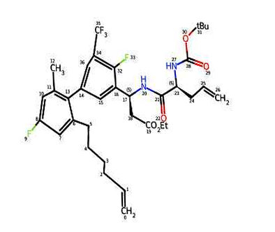 C=CCCCCc1cc(F)cc(C)c1-c1cc([C@H](CC(=O)OCC)NC(=O)[C@H](CC=C)NC(=O)OC(C)(C)C)c(F)c(C(F)(F)F)c1